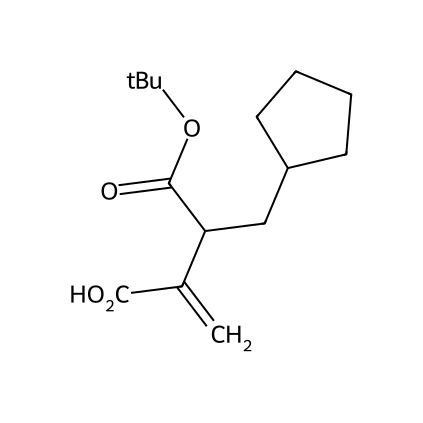 C=C(C(=O)O)C(CC1CCCC1)C(=O)OC(C)(C)C